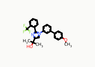 COc1ccc(-c2cccc(-n3cc(C(C)(C)O)nc3-c3ccccc3C(F)(F)F)c2)cc1